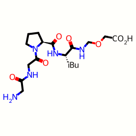 CCC(C)[C@H](NC(=O)[C@@H]1CCCN1C(=O)CNC(=O)CN)C(=O)NCOCC(=O)O